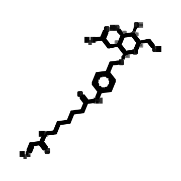 C=CC(=O)NCCCCCC(=O)Nc1ccc(CO[C@H]2O[C@H](CO)[C@@H](O)[C@H](O)[C@@H]2CC(N)=O)cc1